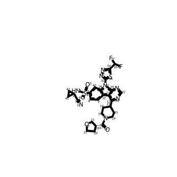 N#CC1(NS(=O)(=O)c2ccc3c4c(C5CCN(C(=O)[C@@H]6CCOC6)CC5)ncnc4n(-c4nnc(C(F)F)s4)c3c2)CC1